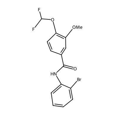 COc1cc(C(=O)Nc2ccccc2Br)ccc1OC(F)F